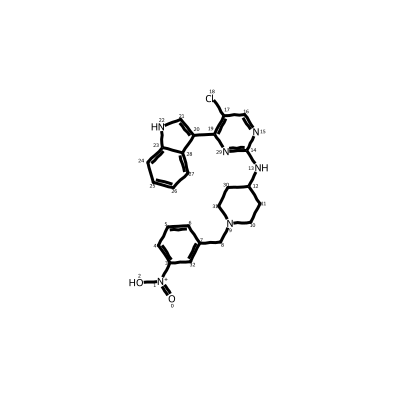 O=[N+](O)c1cccc(CN2CCC(Nc3ncc(Cl)c(-c4c[nH]c5ccccc45)n3)CC2)c1